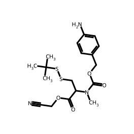 CN(C(=O)OCc1ccc(N)cc1)C(CSSC(C)(C)C)C(=O)OCC#N